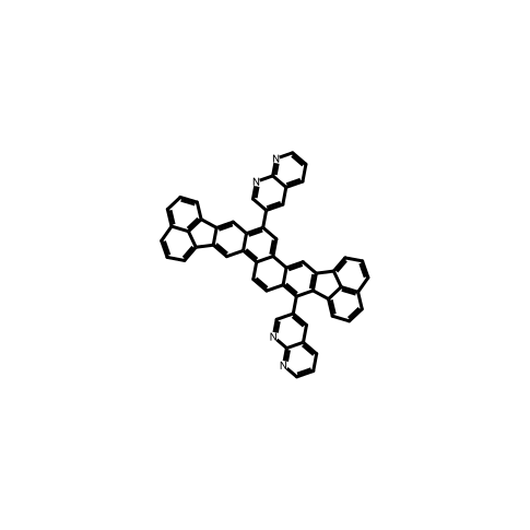 c1cnc2ncc(-c3cc4c5cc6c(c(-c7cnc8ncccc8c7)c5ccc4c4cc5c(cc34)-c3cccc4cccc-5c34)-c3cccc4cccc-6c34)cc2c1